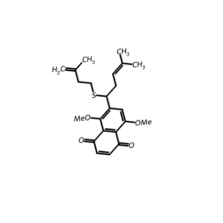 C=C(C)CCSC(CC=C(C)C)c1cc(OC)c2c(c1OC)C(=O)C=CC2=O